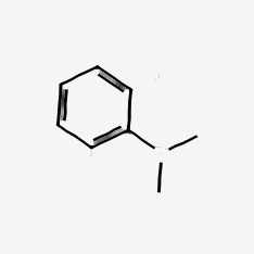 CP(C)c1ccccc1.[S]